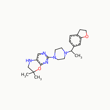 CC(c1ccc2c(c1)OCC2)N1CCN(c2ncc3c(n2)OC(C)(C)CN3)CC1